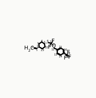 C=C[C@H]1CC[C@H](CC(F)(F)OCc2ccc(C(F)(F)F)cc2)CC1